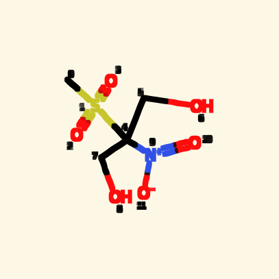 CS(=O)(=O)C(CO)(CO)[N+](=O)[O-]